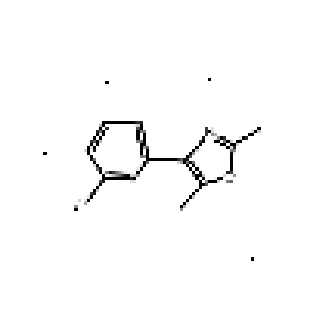 Cc1nc(-c2cccc(Cl)c2)c(C)o1